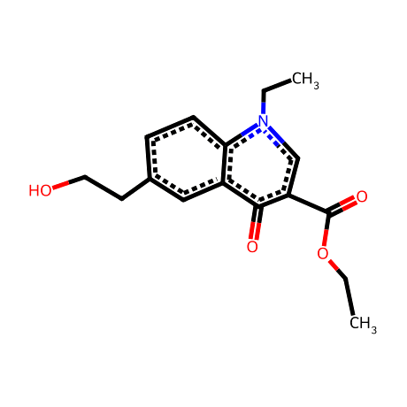 CCOC(=O)c1cn(CC)c2ccc(CCO)cc2c1=O